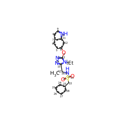 CCn1c(Oc2ccc3cc[nH]c3c2)nnc1[C@@H](C)NS(=O)(=O)Cc1ccccc1